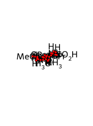 COC(=O)N[C@H](C(=O)N1CCC[C@H]1c1nc2ccc(C3CC[C@H](c4ccc5nc([C@@H]6CCCN6C(=O)[C@@H](NC(=O)O)C(C)C)[nH]c5c4)N3c3ccc(N(C)C)nc3)cc2[nH]1)C(C)C